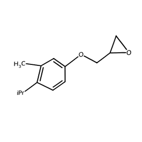 Cc1cc(OCC2CO2)ccc1C(C)C